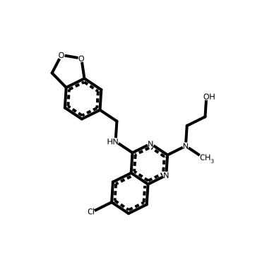 CN(CCO)c1nc(NCc2ccc3c(c2)OOC3)c2cc(Cl)ccc2n1